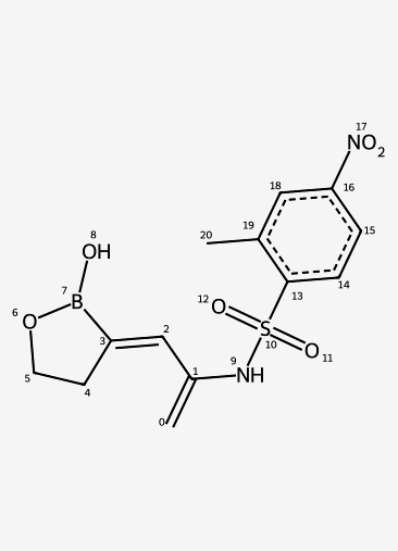 C=C(/C=C1\CCOB1O)NS(=O)(=O)c1ccc([N+](=O)[O-])cc1C